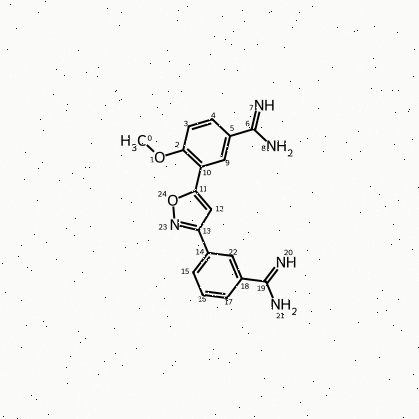 COc1ccc(C(=N)N)cc1-c1cc(-c2cccc(C(=N)N)c2)no1